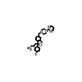 CN(C)CCCC1(c2ccc(F)cc2)OCc2cc(CN3CCN(c4ncccn4)CC3)ccc21